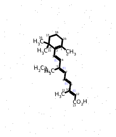 CC1=C(/C=C/C(C)=C/C=C/C(C)=C/C(=O)O)C(C)(C)CCC1.[CaH2]